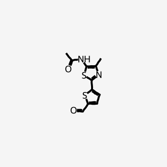 CC(=O)Nc1sc(-c2ccc(C=O)s2)nc1C